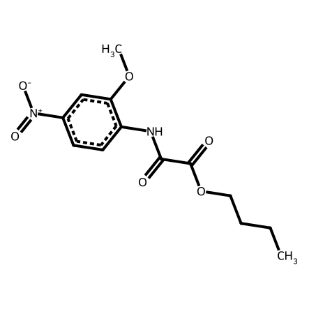 CCCCOC(=O)C(=O)Nc1ccc([N+](=O)[O-])cc1OC